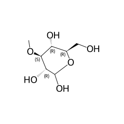 CO[C@H]1[C@H](O)[C@@H](CO)OC(O)[C@@H]1O